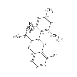 CCCCN(CC(Cc1c(F)cccc1F)c1c(C)cc(C)cc1C)OC.Cl